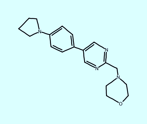 c1cc(N2CCCC2)ccc1-c1cnc(CN2CCOCC2)nc1